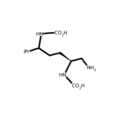 CC(C)C(CC[C@@H](CN)NC(=O)O)NC(=O)O